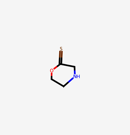 S=C1CN[CH]CO1